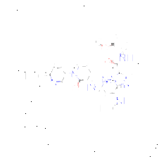 CNc1cc(Nc2cccn(-c3ccc(C)nc3)c2=O)nn2c(C(=O)NC3CC[C@@H]3OC)cnc12